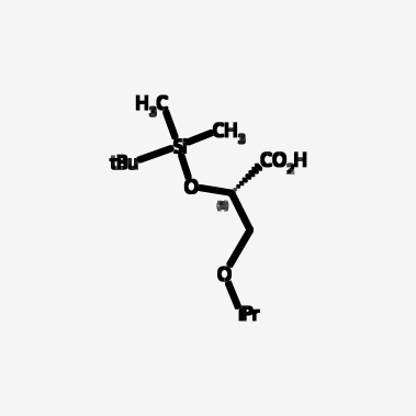 CC(C)OC[C@H](O[Si](C)(C)C(C)(C)C)C(=O)O